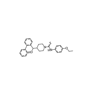 CCOc1ccc(NC(=S)N2CCC(C(O)c3ccccc3-c3ccccc3)CC2)cc1